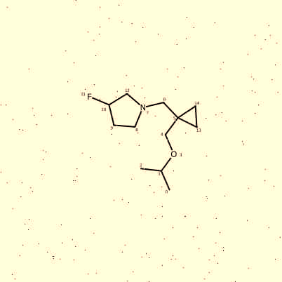 CC(C)OCC1(CN2CCC(F)C2)CC1